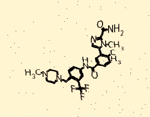 Cc1ccc(C(=O)Nc2ccc(CN3CCN(C)CC3)c(C(F)(F)F)c2)cc1-c1cnc(C(N)=O)n1C